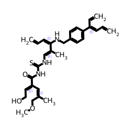 C=C/C=C(NCc1ccc(/C(C=C)=C/C=C)cc1)\C(C)=C\NC(=S)NC(=O)C(/C=C(/C)COC)=C/CO